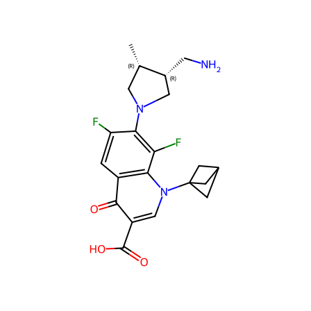 C[C@H]1CN(c2c(F)cc3c(=O)c(C(=O)O)cn(C45CC(C4)C5)c3c2F)C[C@H]1CN